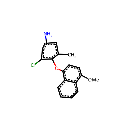 COc1ccc(Oc2c(C)cc(N)cc2Cl)c2ccccc12